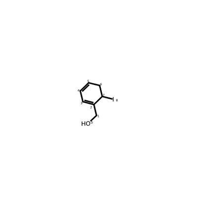 OCC1=CC=CCC1I